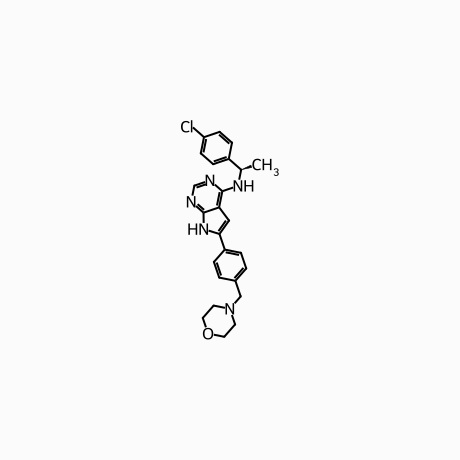 C[C@@H](Nc1ncnc2[nH]c(-c3ccc(CN4CCOCC4)cc3)cc12)c1ccc(Cl)cc1